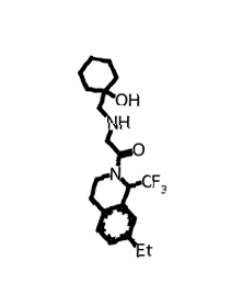 CCc1ccc2c(c1)C(C(F)(F)F)N(C(=O)CNCC1(O)CCCCC1)CC2